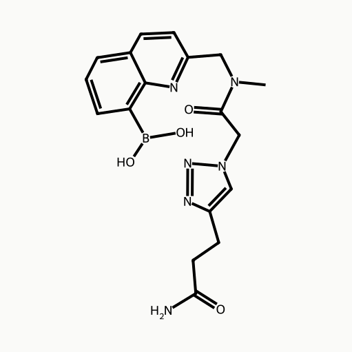 CN(Cc1ccc2cccc(B(O)O)c2n1)C(=O)Cn1cc(CCC(N)=O)nn1